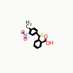 Cc1ccc(C(=S)c2ccccc2C(=O)O)cc1[N+](=O)[O-]